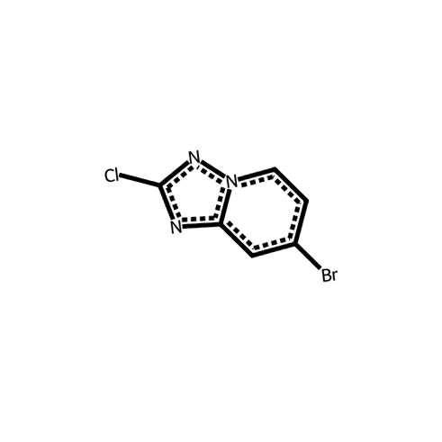 Clc1nc2cc(Br)ccn2n1